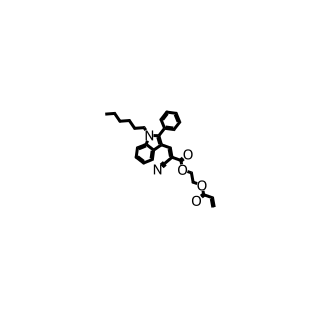 C=CC(=O)OCCOC(=O)C(C#N)=Cc1c(-c2ccccc2)n(CCCCCC)c2ccccc12